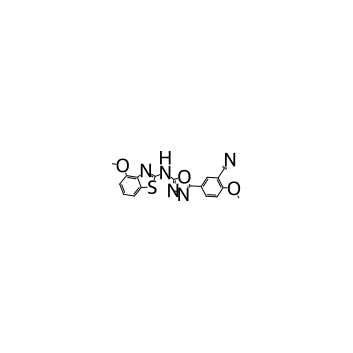 COc1ccc(-c2nnc(Nc3nc4c(OC)cccc4s3)o2)cc1C#N